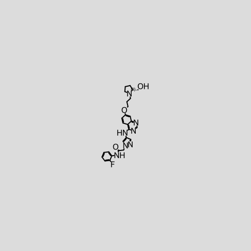 O=C(Cn1cc(Nc2ncnc3cc(OCCCN4CCC[C@@H]4CO)ccc23)cn1)Nc1ccccc1F